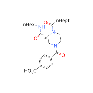 CCCCCCCC(=O)N1CCN(C(=O)c2ccc(C(=O)O)cc2)C[C@@H]1C(=O)NCCCCCC